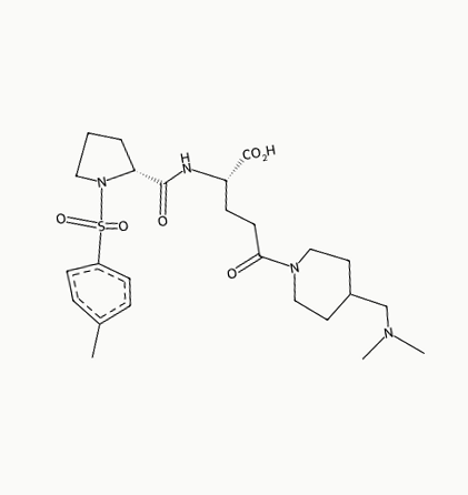 Cc1ccc(S(=O)(=O)N2CCC[C@@H]2C(=O)N[C@@H](CCC(=O)N2CCC(CN(C)C)CC2)C(=O)O)cc1